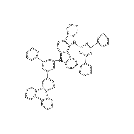 c1ccc(-c2cc(-c3ccc4c5ccccc5c5ccccc5c4c3)cc(-n3c4ccccc4c4c3ccc3c5ccccc5n(-c5nc(-c6ccccc6)nc(-c6ccccc6)n5)c34)c2)cc1